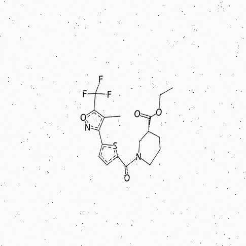 CCOC(=O)[C@H]1CCCN(C(=O)c2ccc(-c3noc(C(F)(F)F)c3C)s2)C1